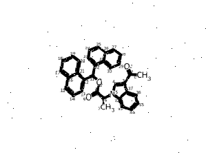 CC(=O)c1cn([C@@H](C)C(=O)OC(c2cccc3ccccc23)c2cccc3ccccc23)c2ccccc12